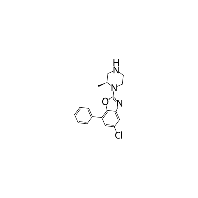 C[C@H]1CNCCN1c1nc2cc(Cl)cc(-c3ccccc3)c2o1